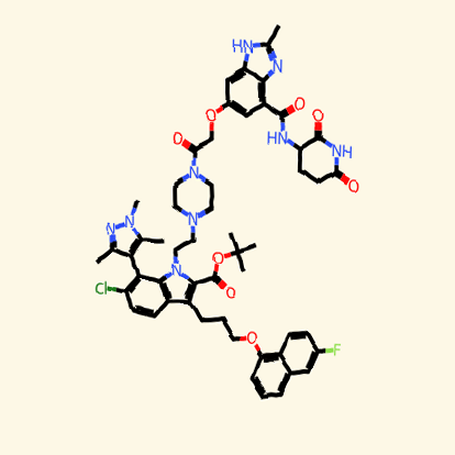 Cc1nc2c(C(=O)NC3CCC(=O)NC3=O)cc(OCC(=O)N3CCN(CCn4c(C(=O)OC(C)(C)C)c(CCCOc5cccc6cc(F)ccc56)c5ccc(Cl)c(-c6c(C)nn(C)c6C)c54)CC3)cc2[nH]1